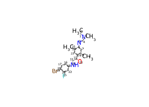 CCN(C)C=Nc1cc(C)c(C(=O)CNc2ccc(Br)c(F)c2)cc1C